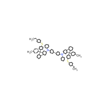 C=Cc1ccc(Sc2ccc(C3(C4=CC=C(C)C=CC4)c4ccccc4-c4ccc(N(c5ccccc5)c5ccc(-c6ccc(N(c7ccccc7)c7ccc8c(c7)C(c7ccc(C)cc7)(c7ccc(Sc9ccc(C=C)cc9)cc7)c7ccccc7-8)cc6)cc5)cc43)cc2)cc1